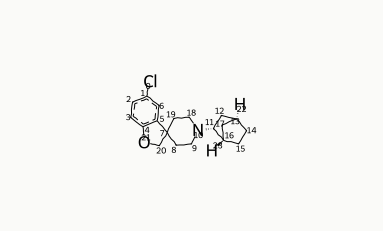 Clc1ccc2c(c1)C1(CCN([C@@H]3C[C@H]4CC[C@H]3C4)CC1)CO2